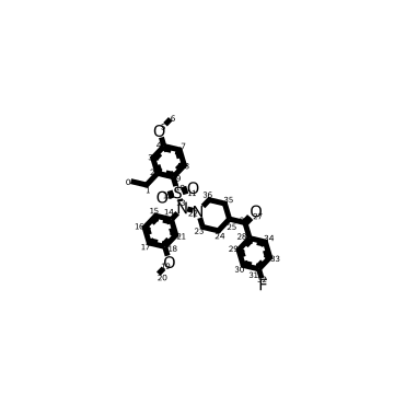 CCc1cc(OC)ccc1S(=O)(=O)N(c1cccc(OC)c1)N1CCC(C(=O)c2ccc(F)cc2)CC1